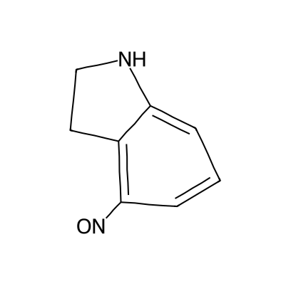 O=Nc1cccc2c1CCN2